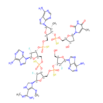 C=NC1=C(/C(N)=N\C)NCN1[C@@H]1O[C@H](COP(=O)(S)O[C@H]2[C@@H](F)[C@H](n3cnc4c(N)ncnc43)O[C@@H]2CO)[C@@H](OP(=O)(S)OC[C@H]2O[C@@H](n3cnc4c(N)ncnc43)[C@H](F)[C@@H]2OP(=O)(S)OC[C@H]2O[C@@H](n3cnc4c(N)ncnc43)[C@H](C)[C@@H]2OP(=O)(S)OC[C@H]2O[C@@H](n3cc(C)c(=O)[nH]c3=O)C[C@@H]2O)[C@H]1F